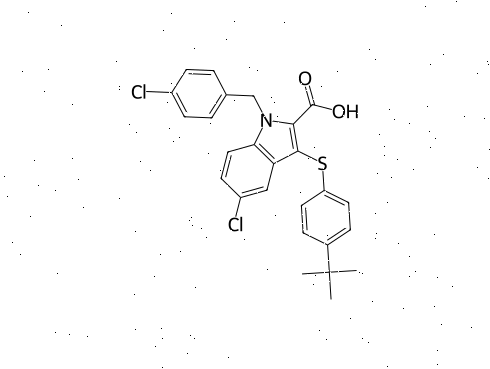 CC(C)(C)c1ccc(Sc2c(C(=O)O)n(Cc3ccc(Cl)cc3)c3ccc(Cl)cc23)cc1